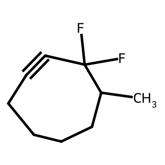 CC1CCCCC#CC1(F)F